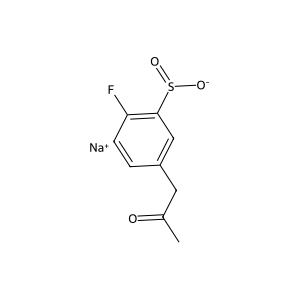 CC(=O)Cc1ccc(F)c(S(=O)[O-])c1.[Na+]